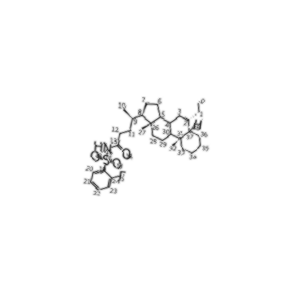 CC[C@H]1CC2C3CC[C@H]([C@H](C)CCC(=O)NS(=O)(=O)c4ccccc4F)[C@@]3(C)CCC2[C@@]2(C)CCCC[C@@H]12